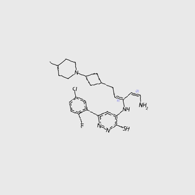 CC1CCN(C2CC(C/C=C(\C=C/N)Nc3cc(-c4cc(Cl)ccc4F)nnc3S)C2)CC1